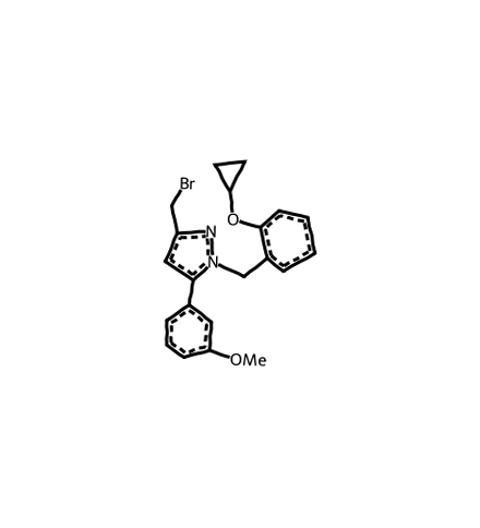 COc1cccc(-c2cc(CBr)nn2Cc2ccccc2OC2CC2)c1